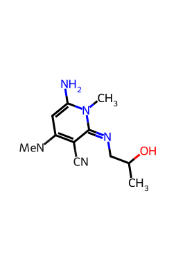 CNc1cc(N)n(C)c(=NCC(C)O)c1C#N